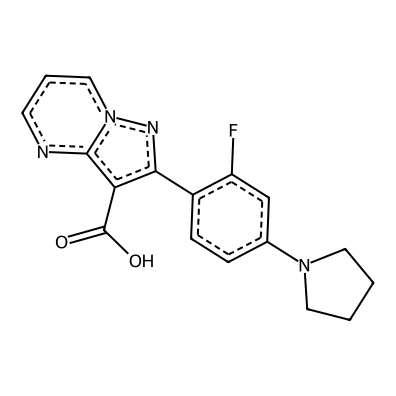 O=C(O)c1c(-c2ccc(N3CCCC3)cc2F)nn2cccnc12